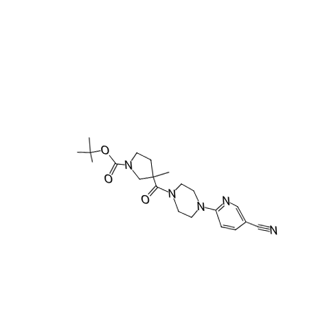 CC(C)(C)OC(=O)N1CCC(C)(C(=O)N2CCN(c3ccc(C#N)cn3)CC2)C1